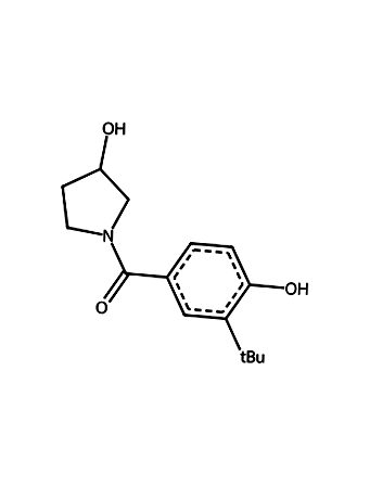 CC(C)(C)c1cc(C(=O)N2CCC(O)C2)ccc1O